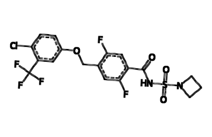 O=C(NS(=O)(=O)N1CCC1)c1cc(F)c(COc2ccc(Cl)c(C(F)(F)F)c2)cc1F